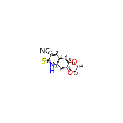 N#Cc1cc2cc3c(cc2[nH]c1=S)OCCO3